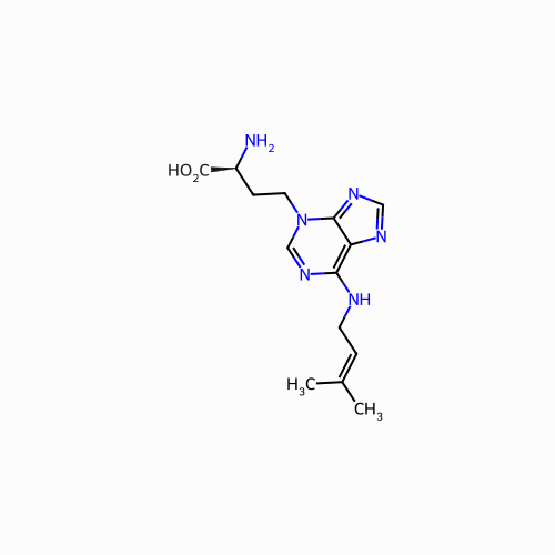 CC(C)=CCNc1ncn(CC[C@H](N)C(=O)O)c2ncnc1-2